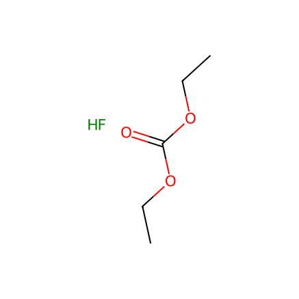 CCOC(=O)OCC.F